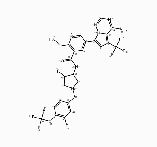 COc1ncc(-c2cc(C(F)(F)F)c3c(N)ncnn23)cc1C(=O)NC1CN(Cc2ccc(OC(F)(F)F)c(F)c2)CC1F